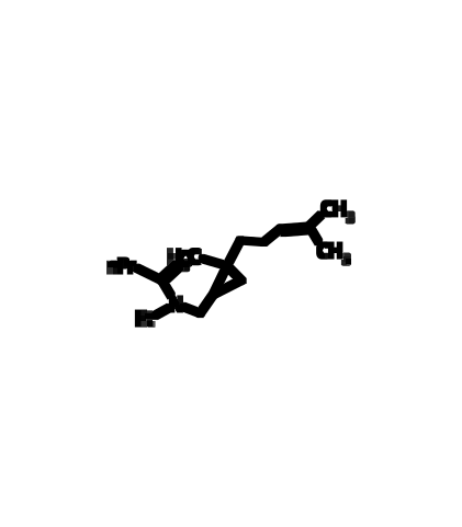 CCCC(=O)N(CC)CC1CC1(C)CCC=C(C)C